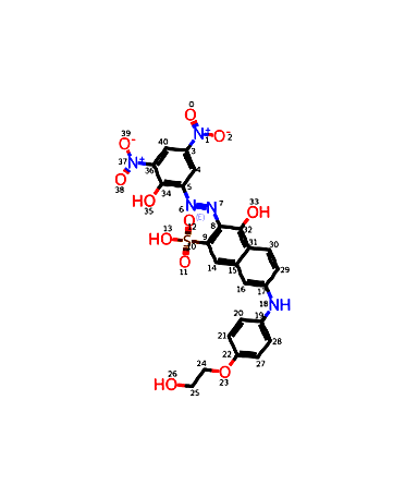 O=[N+]([O-])c1cc(/N=N/c2c(S(=O)(=O)O)cc3cc(Nc4ccc(OCCO)cc4)ccc3c2O)c(O)c([N+](=O)[O-])c1